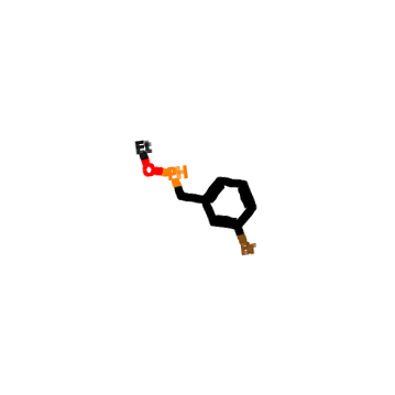 CCOPCc1cccc(Br)c1